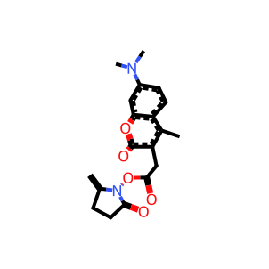 C=C1CCC(=O)N1OC(=O)Cc1c(C)c2ccc(N(C)C)cc2oc1=O